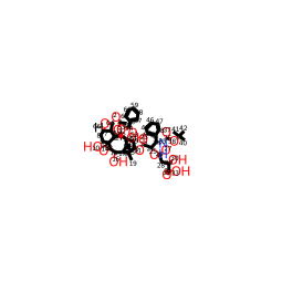 CC(=O)O[C@@]12CO[C@@H]1C[C@H](O)[C@@]1(C)C(=O)[C@H](O)C3=C(C)[C@@H](OC(=O)[C@H](OC(=O)C[C@@H](O)C(=O)O)[C@@H](NC(=O)OC(C)(C)C)c4ccccc4)C[C@@](O)([C@@H](OC(=O)c4ccccc4)[C@H]21)C3(C)C